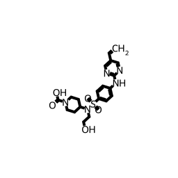 C=Cc1cnc(Nc2ccc(S(=O)(=O)N(CCO)C3CCN(C(=O)O)CC3)cc2)nc1